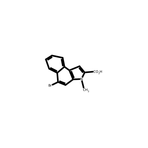 Cn1c(C(=O)O)cc2c3ccccc3c(Br)cc21